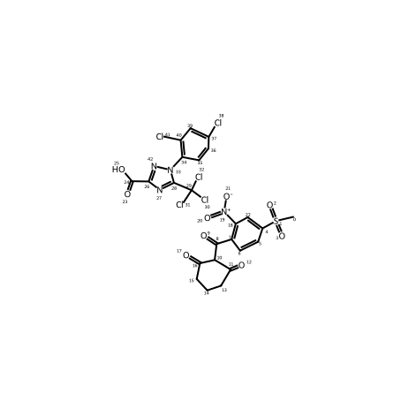 CS(=O)(=O)c1ccc(C(=O)C2C(=O)CCCC2=O)c([N+](=O)[O-])c1.O=C(O)c1nc(C(Cl)(Cl)Cl)n(-c2ccc(Cl)cc2Cl)n1